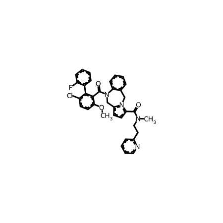 COc1ccc(Cl)c(-c2ccccc2F)c1C(=O)N1Cc2ccc(C(=O)N(C)CCc3ccccn3)n2Cc2ccccc21